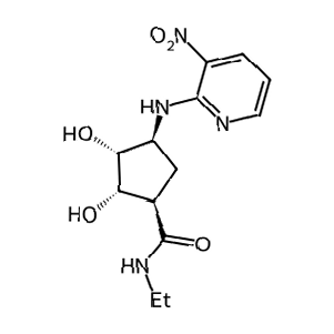 CCNC(=O)[C@@H]1C[C@H](Nc2ncccc2[N+](=O)[O-])[C@@H](O)[C@H]1O